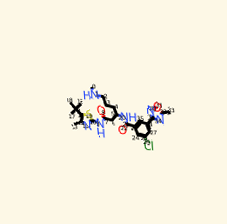 CNCCCC(CC(=O)Nc1nc(C)c(C(C)(C)C)s1)NC(=O)c1cc(Cl)cc(-c2noc(C)n2)c1